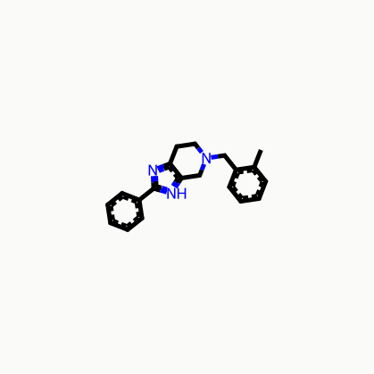 Cc1ccccc1CN1CCc2nc(-c3ccccc3)[nH]c2C1